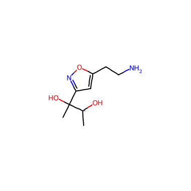 C[C](O)C(C)(O)c1cc(CCN)on1